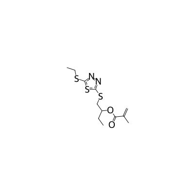 C=C(C)C(=O)OC(CC)CSc1nnc(SCC)s1